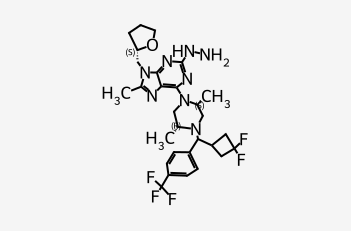 Cc1nc2c(N3C[C@@H](C)N(C(c4ccc(C(F)(F)F)cc4)C4CC(F)(F)C4)C[C@@H]3C)nc(NN)nc2n1C[C@@H]1CCCO1